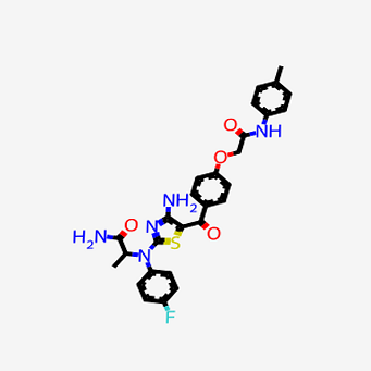 Cc1ccc(NC(=O)COc2ccc(C(=O)c3sc(N(c4ccc(F)cc4)C(C)C(N)=O)nc3N)cc2)cc1